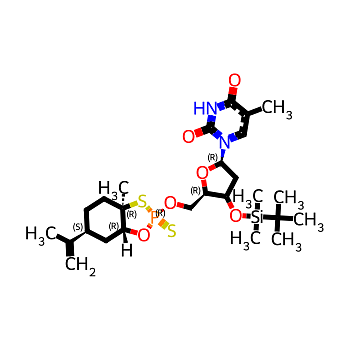 C=C(C)[C@H]1CC[C@@]2(C)S[P@](=S)(OC[C@H]3O[C@@H](n4cc(C)c(=O)[nH]c4=O)CC3O[Si](C)(C)C(C)(C)C)O[C@@H]2C1